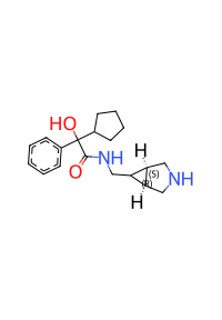 O=C(NCC1[C@H]2CNC[C@@H]12)C(O)(c1ccccc1)C1CCCC1